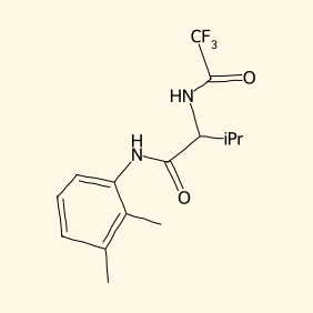 Cc1cccc(NC(=O)C(NC(=O)C(F)(F)F)C(C)C)c1C